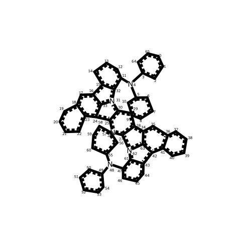 c1ccc(N(c2ccccc2)c2cccc3c4cc5ccccc5c5c6nc7c(cc6n(c23)c45)c2cc3ccccc3c3c4cccc(N(c5ccccc5)c5ccccc5)c4n7c23)cc1